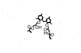 C=CC(=O)OCC(O)COc1c(C)cc(C)cc1Cc1cc(C)cc(C)c1OCC(O)COC(=O)C(=C)C